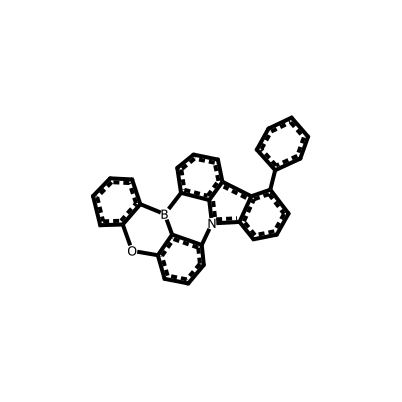 c1ccc(-c2cccc3c2c2cccc4c2n3-c2cccc3c2B4c2ccccc2O3)cc1